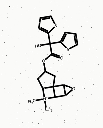 C[N+]1(C)C2CC(OC(=O)C(O)(c3cccs3)c3cccs3)CC23C2OC2C31